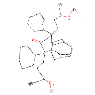 CCCC(CCC(C(=O)C(CCC(CCC)OCC)(C1CCCCC1)C1CCCCC1)(C1CCCCC1)C1CCCCC1)OCC